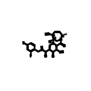 C[C@H]1C=C[C@H](O)[C@H]2CN1C(=O)c1c(O)c(=O)c(C(=O)NCc3ccc(F)cc3F)cn12